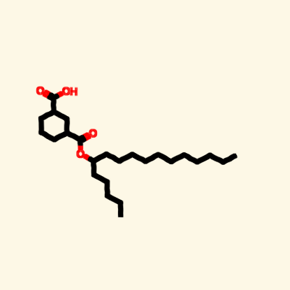 CCCCCCCCCCCC(CCCCC)OC(=O)C1CCCC(C(=O)O)C1